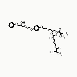 C=C(C)C(=O)OCCCNC(=O)OC(COCCOc1ccc(OCCOCC(O)COc2ccccc2)cc1)COC(=O)C(=C)C